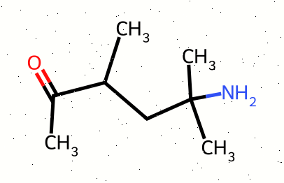 CC(=O)C(C)CC(C)(C)N